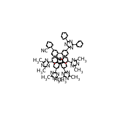 Cc1nc(C)nc(-c2ccc3c(c2)c2cc(-c4nc(C)nc(C)n4)ccc2n3-c2ccc(-c3nc(-c4ccccc4)nc(-c4ccccc4)n3)cc2-c2cc(-c3ccccc3C#N)ccc2-n2c3ccc(-c4nc(C)nc(C)n4)cc3c3cc(-c4nc(C)nc(C)n4)ccc32)n1